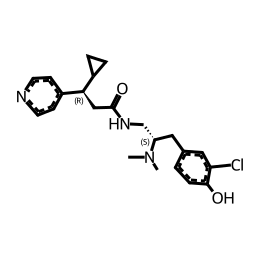 CN(C)[C@H](CNC(=O)C[C@@H](c1ccncc1)C1CC1)Cc1ccc(O)c(Cl)c1